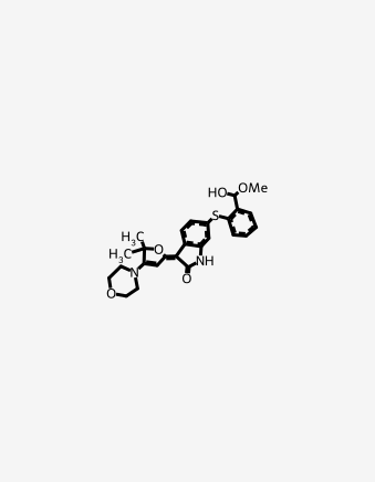 COC(O)c1ccccc1Sc1ccc2c(c1)NC(=O)/C2=C1\C=C(N2CCOCC2)C(C)(C)O1